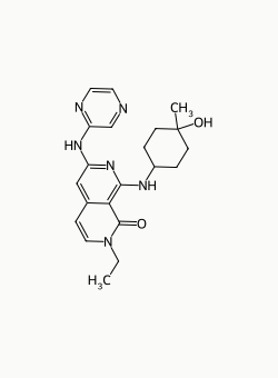 CCn1ccc2cc(Nc3cnccn3)nc(NC3CCC(C)(O)CC3)c2c1=O